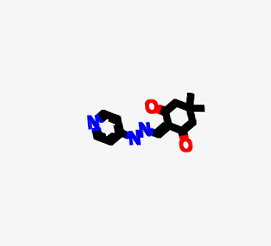 CC1(C)CC(=O)C(=CN=Nc2ccncc2)C(=O)C1